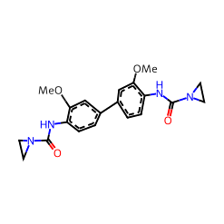 COc1cc(-c2ccc(NC(=O)N3CC3)c(OC)c2)ccc1NC(=O)N1CC1